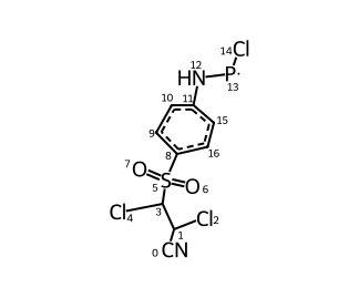 N#CC(Cl)C(Cl)S(=O)(=O)c1ccc(N[P]Cl)cc1